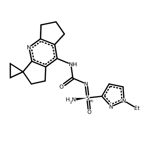 CCn1ccc([S@](N)(=O)=NC(=O)Nc2c3c(nc4c2CCC42CC2)CCC3)n1